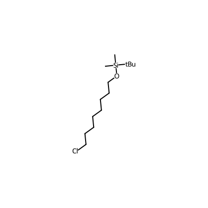 CC(C)(C)[Si](C)(C)OCCCCCCCCCl